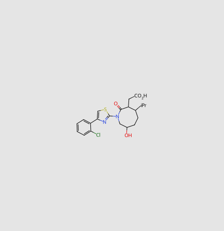 CC(C)C1CCC(O)CN(c2nc(-c3ccccc3Cl)cs2)C(=O)C1CC(=O)O